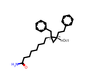 CCCCCCCC[C@@]1(CCc2ccccc2)C[C@]1(CCCCCCCC(N)=O)Cc1ccccc1